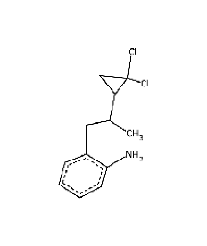 CC(Cc1ccccc1N)C1CC1(Cl)Cl